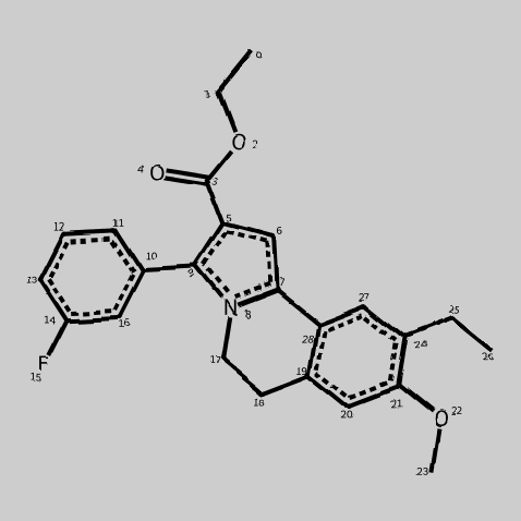 CCOC(=O)c1cc2n(c1-c1cccc(F)c1)CCc1cc(OC)c(CC)cc1-2